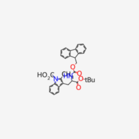 Cc1c(CC(NC(=O)OCC2c3ccccc3-c3ccccc32)C(=O)OC(C)(C)C)c2ccccc2n1C(=O)O